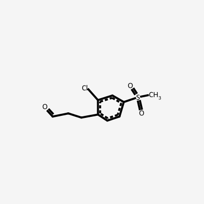 CS(=O)(=O)c1ccc(CCC=O)c(Cl)c1